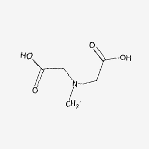 [CH2]N(CC(=O)O)CC(=O)O